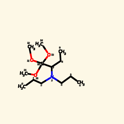 CCCN(CCC)C(CC)[Si](OC)(OC)OC